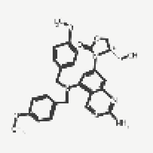 CC[C@H]1COC(=O)N1c1cc(N(Cc2ccc(OC)cc2)Cc2ccc(OC)cc2)c2cnc(N)nc2c1